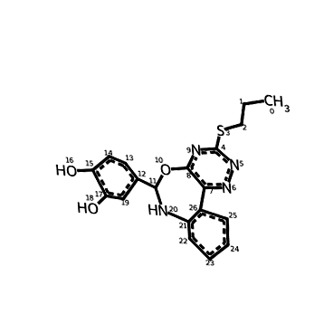 CCCSc1nnc2c(n1)OC(c1ccc(O)c(O)c1)Nc1ccccc1-2